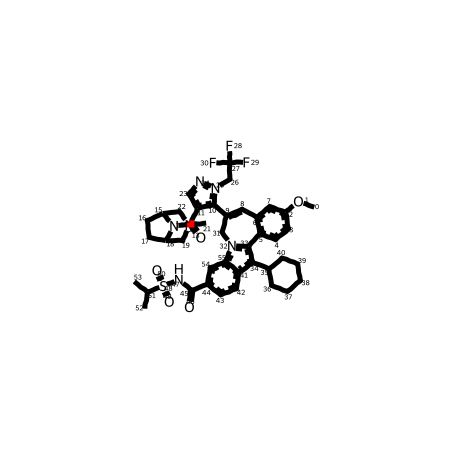 COc1ccc2c(c1)C=C(c1c(C(=O)N3C4CCC3CN(C)C4)cnn1CC(F)(F)F)Cn1c-2c(C2CCCCC2)c2ccc(C(=O)NS(=O)(=O)C(C)C)cc21